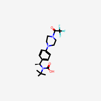 C[C@@H](c1ccc(N2CCN(C(=O)C(F)(F)F)CC2)cc1)N(C(=O)O)C(C)(C)C